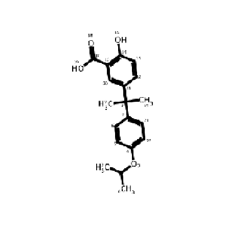 CC(C)Oc1ccc(C(C)(C)c2ccc(O)c(C(=O)O)c2)cc1